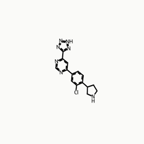 Clc1cc(-c2cc(-c3nn[nH]n3)ncn2)ccc1C1CCNC1